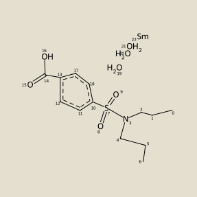 CCCN(CCC)S(=O)(=O)c1ccc(C(=O)O)cc1.O.O.O.[Sm]